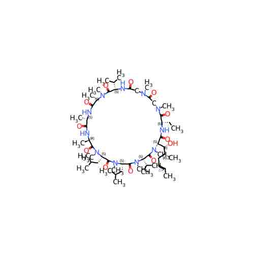 C/C=C/C[C@@H](C)[C@@H](O)[C@H]1C(=O)N[C@@H](CC)C(=O)N(C)CC(=O)N(C)CC(=O)N[C@@H](C(C)C)C(=O)N(C)[C@@H](C)C(=O)N[C@@H](C)C(=O)N[C@H](C)C(=O)N(C)[C@@H](CC(C)C)C(=O)N(C)[C@@H](CC(C)C)C(=O)N(C)[C@@H](C(C)C)C(=O)N1C